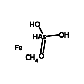 C.O=[AsH](O)O.[Fe]